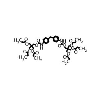 C=CC(=O)OCC(COC(=O)C=C)(COC(=O)C=C)COC(=O)Nc1ccc(Cc2ccc(NC(=O)OCC(COC(=O)C=C)(COC(=O)C=C)COC(=O)C=C)cc2)cc1